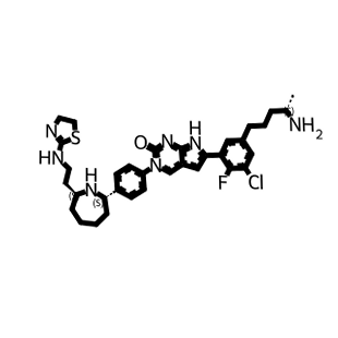 C[C@H](N)CCCc1cc(Cl)c(F)c(-c2cc3cn(-c4ccc([C@@H]5CCCC[C@@H](CCNC6=NCCS6)N5)cc4)c(=O)nc3[nH]2)c1